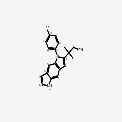 CC(C)(CC#N)c1cc2cc3[nH]ncc3cc2n1-c1ccc(F)cc1